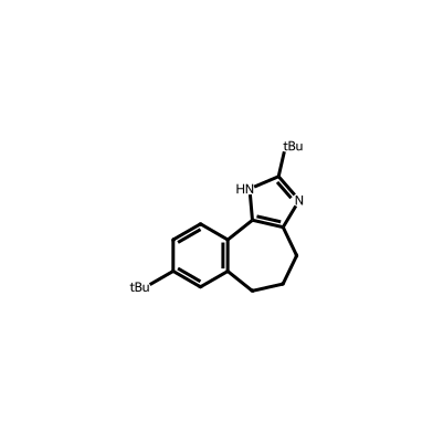 CC(C)(C)c1ccc2c(c1)CCCc1nc(C(C)(C)C)[nH]c1-2